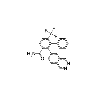 NC(=O)c1ccc(C(F)(F)F)c(-c2ccccc2)c1-c1ccc2cnncc2c1